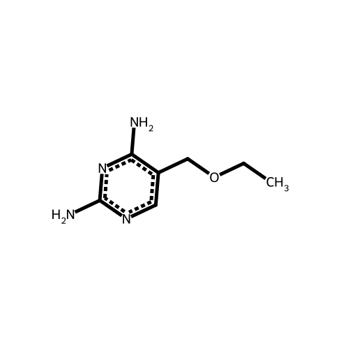 CCOCc1cnc(N)nc1N